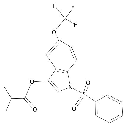 CC(C)C(=O)Oc1cn(S(=O)(=O)c2ccccc2)c2ccc(OC(F)(F)F)cc12